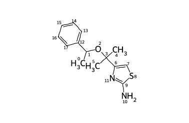 CC(OC(C)(C)c1csc(N)n1)c1ccccc1